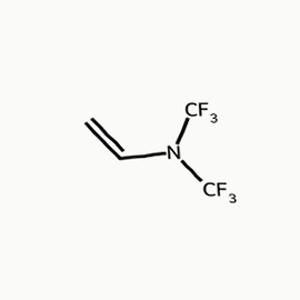 C=CN(C(F)(F)F)C(F)(F)F